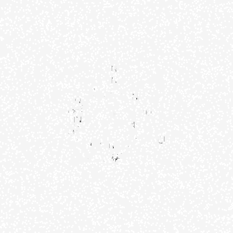 C[C@@H]1[C@@H](C)C/C=C(\F)[C@H](C(=O)N(C)Cc2ccnn2C)N2CCC[C@@]23CN2CCCCc4cc(Cl)cc3c4COc3ccc(cc32)C(=O)NS1(=O)=O